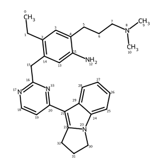 CCc1cc(CCCN(C)C)c(N)cc1Cc1nccc(-c2c3n(c4ccccc24)CCC3)n1